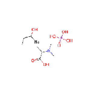 CC(C(=O)O)N(C)C.CC[CH](O)[Na].O=P(O)(O)O